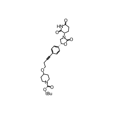 CC(C)(C)OC(=O)N1CCC(OCCC#Cc2ccc([C@@H]3CN([C@@H]4CCC(=O)NC4=O)C(=O)O3)cc2)CC1